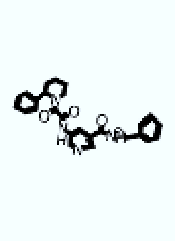 O=C(Nc1cncc(C(=O)NOCc2ccccc2)c1)C(=O)N1CCCCC1c1ccccc1